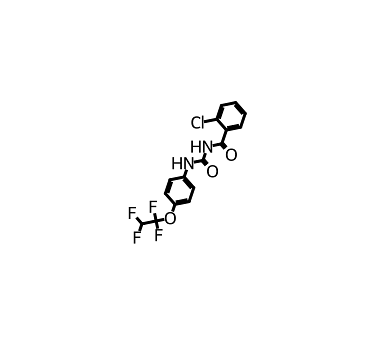 O=C(NC(=O)c1ccccc1Cl)Nc1ccc(OC(F)(F)C(F)F)cc1